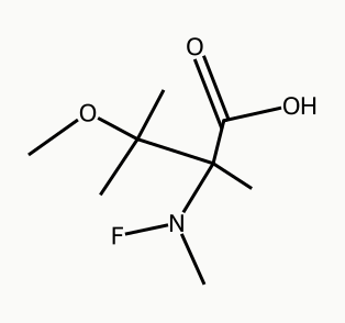 COC(C)(C)C(C)(C(=O)O)N(C)F